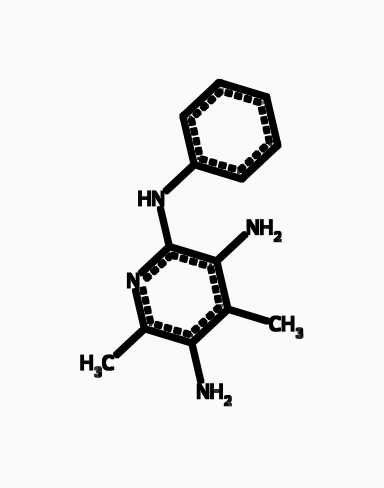 Cc1nc(Nc2ccccc2)c(N)c(C)c1N